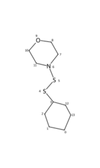 C1CCC(SSN2CCOCC2)CC1